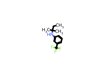 CCC(C)(C)Nc1cccc(C(F)(F)F)c1